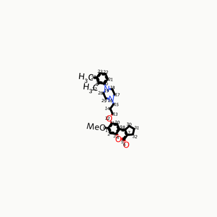 COc1cc2oc(=O)c3c(c2cc1OCCCN1CCN(c2cccc(C)c2C)CC1)CCC3